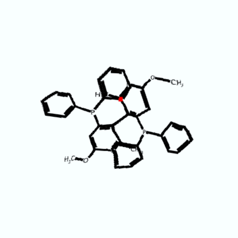 COc1cc(P(c2ccccc2)c2ccccc2)c(-c2c(P(c3ccccc3)c3ccccc3)cc(OC)nc2C)c(C)n1